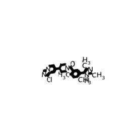 Cc1nc(C)c(-c2cc(C(=O)N3CCC(c4ccn5cnc(Cl)c5c4)CC3)c(C)cc2C)[nH]1